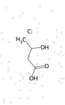 CC(O)CC(=O)O.[C]